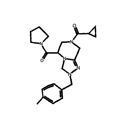 Cc1ccc(CN2CN3C(=N2)CN(C(=O)C2CC2)CC3C(=O)N2CCCC2)cc1